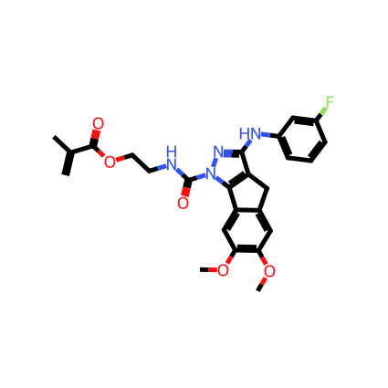 C=C(C)C(=O)OCCNC(=O)n1nc(Nc2cccc(F)c2)c2c1-c1cc(OC)c(OC)cc1C2